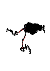 CCCCCCCCCCCCC/C=C/[C@@H](O)[C@H](CO[C@@H]1OC(CO)[C@@H](O[C@@H]2OC(CO)[C@H](O[C@@H]3OC(CO)[C@H](O)[C@H](O)C3NC(C)=O)[C@H](O)C2O)[C@H](O)C1O)NC(=O)CCCCCCCCCCCCCCCCCCCCCCC